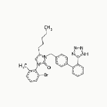 CCCCCc1cn(-c2c(C)cccc2Br)c(=O)n1Cc1ccc(-c2ccccc2-c2nnn[nH]2)cc1